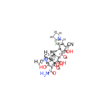 CN(C)[C@@H]1C(O)=C(C(N)=O)C(=O)[C@@]2(O)C(O)=C3C(=O)c4c(O)c(C#N)c(CN5CCCC5)c(F)c4C[C@H]3C[C@@H]12